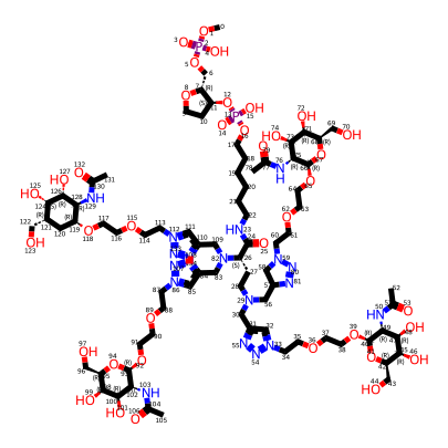 COP(=O)(O)OC[C@H]1OCC[C@@H]1OP(=O)(O)OCCCCCCNC(=O)[C@H](CCN(Cc1cn(CCOCCO[C@@H]2O[C@H](CO)[C@H](O)[C@H](O)[C@H]2NC(C)=O)nn1)CC1CN(CCOCCO[C@@H]2O[C@H](CO)[C@H](O)[C@H](O)[C@H]2NC(C)=O)N=N1)N(Cc1cn(CCOCCO[C@@H]2O[C@H](CO)[C@H](O)[C@H](O)[C@H]2NC(C)=O)nn1)Cc1cn(CCOCCO[C@@H]2C[C@H](CO)[C@H](O)[C@H](O)[C@H]2NC(C)=O)nn1